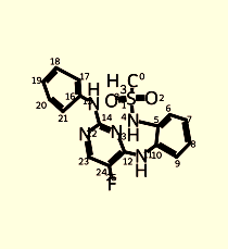 CS(=O)(=O)Nc1ccccc1Nc1nc(Nc2ccccc2)ncc1F